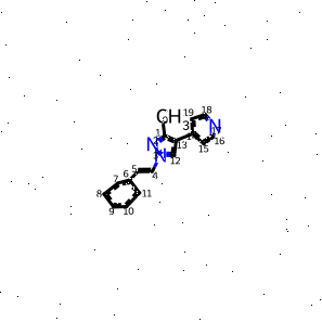 Cc1nn(C=Cc2ccccc2)cc1-c1ccncc1